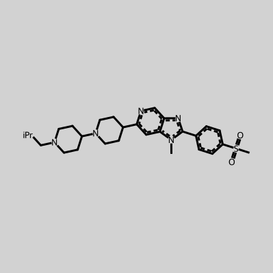 CC(C)CN1CCC(N2CCC(c3cc4c(cn3)nc(-c3ccc(S(C)(=O)=O)cc3)n4C)CC2)CC1